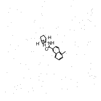 Cc1cccc2cc(C(=O)N[C@@H]3C[C@H]4CC[C@@H]3N4)ccc12